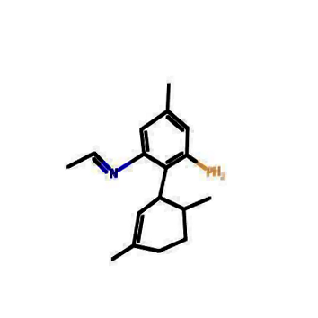 C/C=N/c1cc(C)cc(P)c1C1C=C(C)CCC1C